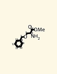 COC(=O)[C@H](N)COCc1ccccc1